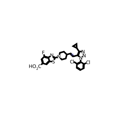 O=C(O)c1cc(F)c2nc(N3CCC(/C=C/c4c(C5CC5)nnn4-c4c(Cl)cccc4Cl)CC3)sc2c1